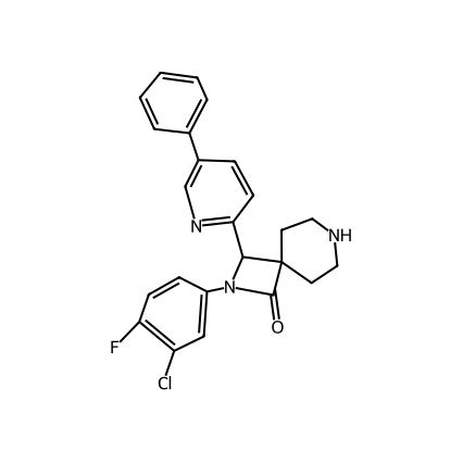 O=C1N(c2ccc(F)c(Cl)c2)C(c2ccc(-c3ccccc3)cn2)C12CCNCC2